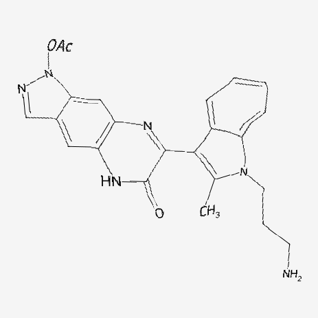 CC(=O)On1ncc2cc3[nH]c(=O)c(-c4c(C)n(CCCN)c5ccccc45)nc3cc21